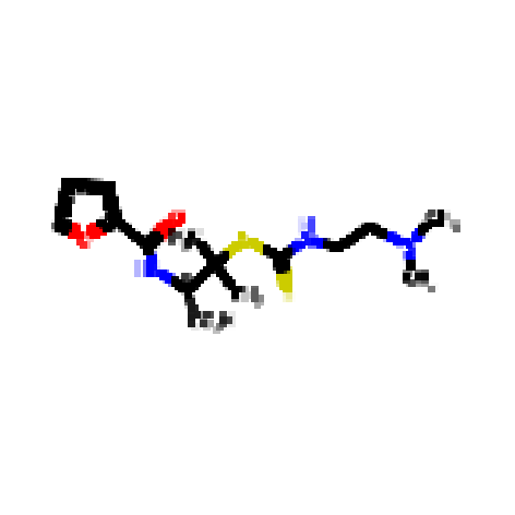 CN(C)CCNC(=S)SC(C)(C)[C@H](NC(=O)c1ccco1)C(=O)O